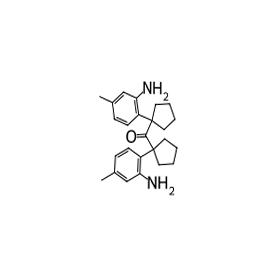 Cc1ccc(C2(C(=O)C3(c4ccc(C)cc4N)CCCC3)CCCC2)c(N)c1